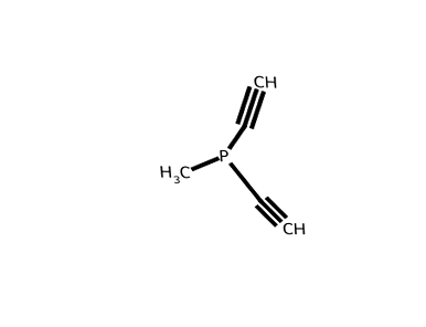 C#CP(C)C#C